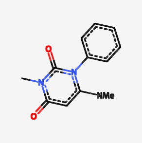 CNc1cc(=O)n(C)c(=O)n1-c1ccccc1